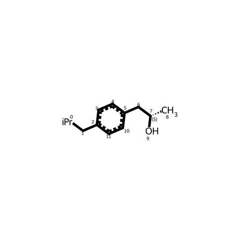 CC(C)Cc1ccc(C[C@H](C)O)cc1